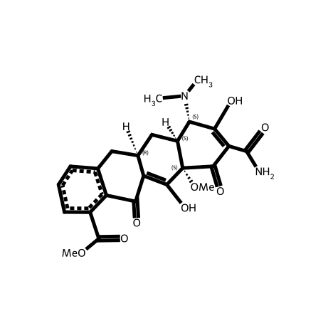 COC(=O)c1cccc2c1C(=O)C1=C(O)[C@]3(OC)C(=O)C(C(N)=O)=C(O)[C@@H](N(C)C)[C@@H]3C[C@@H]1C2